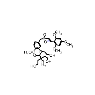 COc1cc(OC)c(/C=C/S(=O)(=O)Cc2ccc(OC)c(N(CCO)C(=O)C(N)(CCO)CCO)c2)c(OC)c1